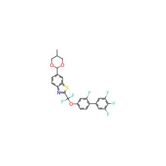 CC1COC(c2ccc3nc(C(F)(F)Oc4ccc(-c5cc(F)c(F)c(F)c5)c(F)c4)sc3c2)OC1